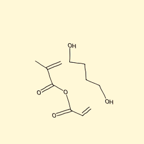 C=CC(=O)OC(=O)C(=C)C.OCCCCO